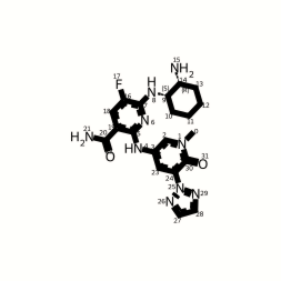 Cn1cc(Nc2nc(N[C@H]3CCCC[C@H]3N)c(F)cc2C(N)=O)cc(-n2nccn2)c1=O